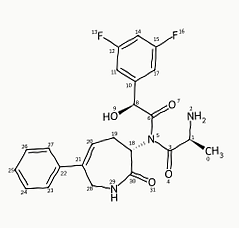 C[C@H](N)C(=O)N(C(=O)[C@@H](O)c1cc(F)cc(F)c1)[C@H]1CC=C(c2ccccc2)CNC1=O